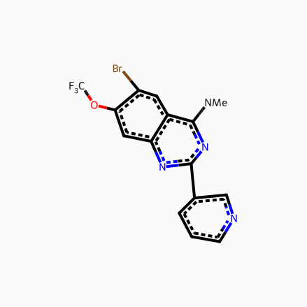 CNc1nc(-c2cccnc2)nc2cc(OC(F)(F)F)c(Br)cc12